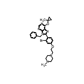 CN1CCN(CCOc2ccc(-c3nc4c(OC5(C)CC5)ncnc4n3Cc3ccccc3)c(Br)c2)CC1